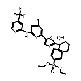 CCOP(=O)(OCC)c1ccc2c(c1)CCC[C@]2(O)c1ncc(-c2cc(C)cc(Nc3cc(C(F)(F)F)ccn3)n2)s1